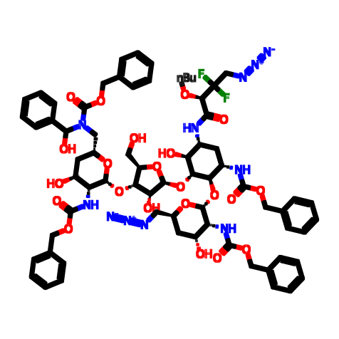 CCCCO[C@H](C(=O)N[C@@H]1C[C@H](NC(=O)OCc2ccccc2)[C@@H](O[C@H]2O[C@H](CN=[N+]=[N-])C[C@@H](O)[C@H]2NC(=O)OCc2ccccc2)[C@H](O[C@@H]2O[C@H](CO)[C@@H](O[C@H]3O[C@@H](CN(C(=O)OCc4ccccc4)C(O)c4ccccc4)C[C@H](O)[C@H]3NC(=O)OCc3ccccc3)[C@H]2O)[C@H]1O)C(F)(F)CN=[N+]=[N-]